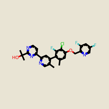 Cc1cnc(-c2ccnc(C(C)(C)O)n2)cc1-c1c(C)cc(OCc2ncc(F)cc2F)c(Cl)c1F